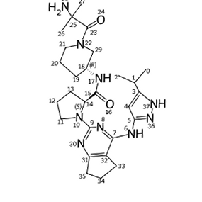 CC(C)c1cc(Nc2nc(N3CCC[C@H]3C(=O)N[C@@H]3CCCN(C(=O)C(C)(C)N)C3)nc3c2CCC3)n[nH]1